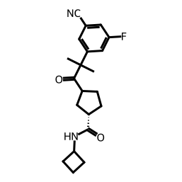 CC(C)(C(=O)C1CC[C@H](C(=O)NC2CCC2)C1)c1cc(F)cc(C#N)c1